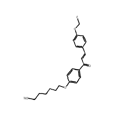 O=C(C=Cc1ccc(OCF)cc1)c1ccc(OCCCCCCO)cc1